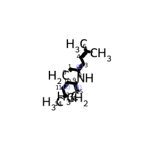 C=C/C(=C\C=C(C)C)NC(/C=C\C(=C)C)=C/C